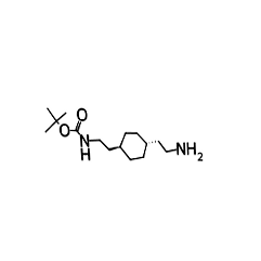 CC(C)(C)OC(=O)NCC[C@H]1CC[C@H](CCN)CC1